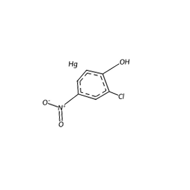 O=[N+]([O-])c1ccc(O)c(Cl)c1.[Hg]